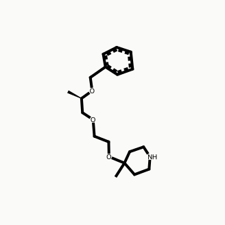 C[C@H](COCCOC1(C)CCNCC1)OCc1ccccc1